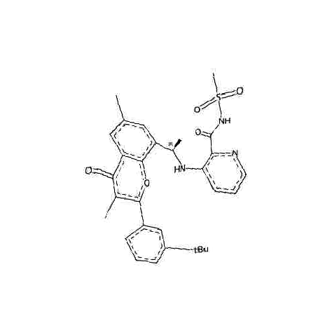 Cc1cc([C@@H](C)Nc2cccnc2C(=O)NS(C)(=O)=O)c2oc(-c3cccc(C(C)(C)C)c3)c(C)c(=O)c2c1